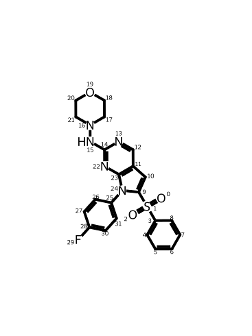 O=S(=O)(c1ccccc1)c1cc2cnc(NN3CCOCC3)nc2n1-c1ccc(F)cc1